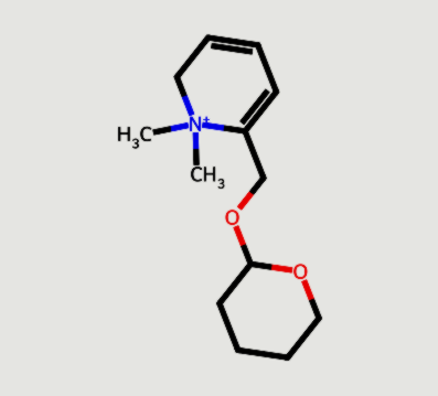 C[N+]1(C)CC=CC=C1COC1CCCCO1